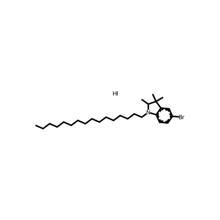 CCCCCCCCCCCCCCCCN1c2ccc(Br)cc2C(C)(C)C1C.I